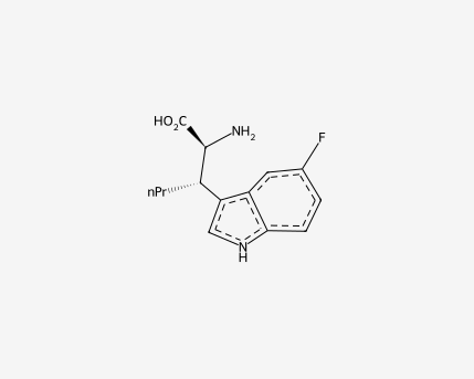 CCC[C@@H](c1c[nH]c2ccc(F)cc12)[C@H](N)C(=O)O